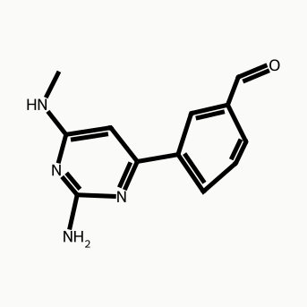 CNc1cc(-c2cccc(C=O)c2)nc(N)n1